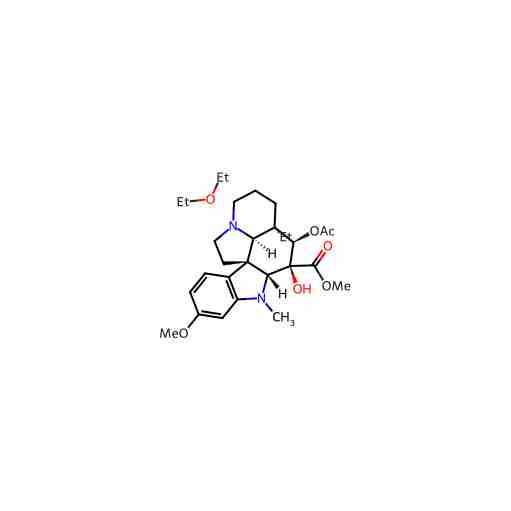 CCOCC.CC[C@]12CCCN3CC[C@@]4(c5ccc(OC)cc5N(C)[C@H]4[C@@](O)(C(=O)OC)[C@@H]1OC(C)=O)[C@@H]32